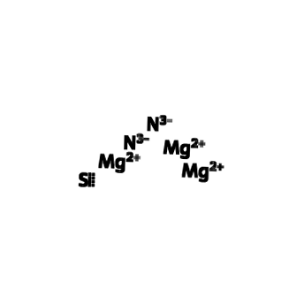 [Mg+2].[Mg+2].[Mg+2].[N-3].[N-3].[Si]